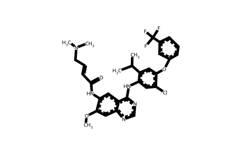 COc1cc2ncnc(Nc3cc(Cl)c(Oc4cccc(C(F)(F)F)c4)cc3C(C)C)c2cc1NC(=O)/C=C/CN(C)C